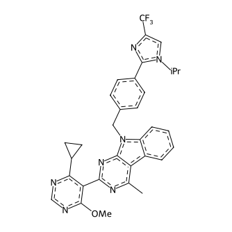 COc1ncnc(C2CC2)c1-c1nc(C)c2c3ccccc3n(Cc3ccc(-c4nc(C(F)(F)F)cn4C(C)C)cc3)c2n1